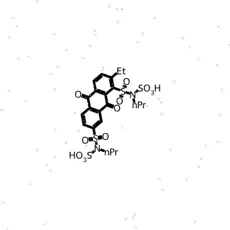 CCCN(S(=O)(=O)O)S(=O)(=O)c1ccc2c(c1)C(=O)c1c(ccc(CC)c1S(=O)(=O)N(CCC)S(=O)(=O)O)C2=O